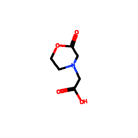 O=C(O)CN1CCOC(=O)C1